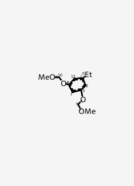 CCc1cc(OCOC)cc(OCOC)c1